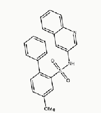 COc1ccc(-c2ccccc2)c(S(=O)(=O)Nc2cnc3ccccc3c2)c1